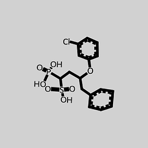 O=P(O)(O)C(CC(Cc1ccccc1)Oc1cccc(Cl)c1)S(=O)(=O)O